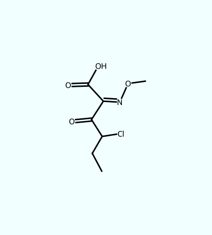 CCC(Cl)C(=O)C(=NOC)C(=O)O